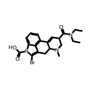 CCN(CC)C(=O)C1C=C2c3cccc4c3c(c(Br)n4C(=O)O)CC2N(C)C1